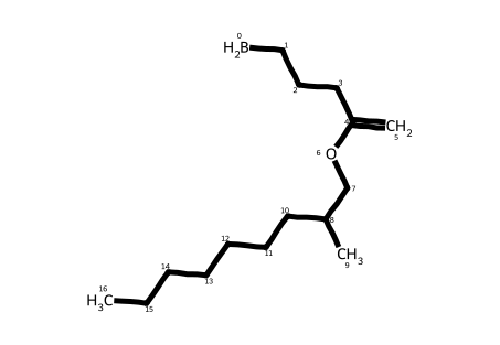 BCCCC(=C)OCC(C)CCCCCCC